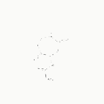 COC(=O)N[C@H]1CC(=O)NCCC1=O